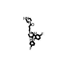 O=C(CCCN1CC[C@@H]2[C@@H](C1)c1cc(F)ccc1N2c1ccc(F)cc1)N1CCNCC1